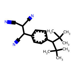 CC(C)(C)C(c1ccc(C(C#N)C(C#N)C#N)cc1)C(C)(C)C